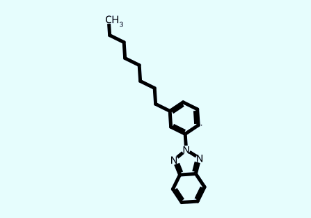 CCCCCCCCc1cc[c]c(-n2nc3ccccc3n2)c1